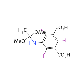 COC(C)(Nc1c(I)c(C(=O)O)c(I)c(C(=O)O)c1I)OC